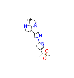 CCC/C=N\c1c(-c2cnn(-c3ccc(C(C)S(C)(=O)=O)cn3)c2)ccnc1C